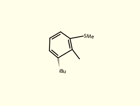 CC[C@@H](C)c1cccc(SC)c1C